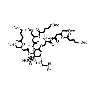 CCCCCCCCCCCCCC(=O)O[C@H](CCCCCCCCCCC)CC(=O)NC(=O)[C@@H](N)COC1O[C@H](CO)[C@@H](OP(=O)(O)O)[C@H](OC(=O)C[C@@H](CCCCCCCCCCC)OC(=O)CCCCCCCCCCCCC)[C@H]1NC(=O)C[C@@H](CCCCCCCCCCC)OC(=O)CCCCCCCCCCCCC.CCN(CC)CC